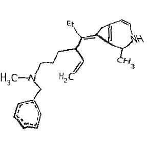 C=CC(CCCN(C)Cc1ccccc1)/C(CC)=C1C2=C/1C(C)NC=C2